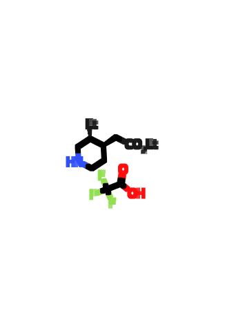 CCOC(=O)C[C@H]1CCNC[C@@H]1CC.O=C(O)C(F)(F)F